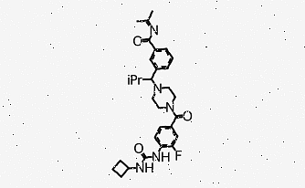 CC(C)=NC(=O)c1cccc(C(C(C)C)N2CCN(C(=O)c3ccc(NC(=O)NC4CCC4)c(F)c3)CC2)c1